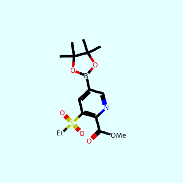 CCS(=O)(=O)c1cc(B2OC(C)(C)C(C)(C)O2)cnc1C(=O)OC